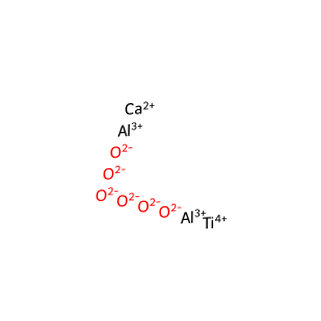 [Al+3].[Al+3].[Ca+2].[O-2].[O-2].[O-2].[O-2].[O-2].[O-2].[Ti+4]